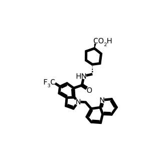 O=C(NC[C@H]1CC[C@H](C(=O)O)CC1)c1cc(C(F)(F)F)cc2ccn(Cc3cccc4cccnc34)c12